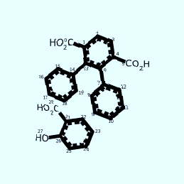 O=C(O)c1ccc(C(=O)O)c(-c2ccccc2)c1-c1ccccc1.O=C(O)c1ccccc1O